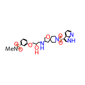 CNS(=O)(=O)c1cccc(OCC(O)CN[C@H]2COC3(CCN(S(=O)(=O)c4c[nH]c5ncccc45)CC3)C2)c1